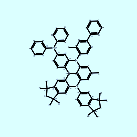 Cc1cc2c3c(c1)N(c1ccc(-c4ccccc4)cc1C)c1cc(N(c4ccccc4)c4ccccc4)ccc1B3c1cc3c(cc1N2c1ccc2c(c1)C(C)(C)CC2(C)C)C(C)(C)CC3(C)C